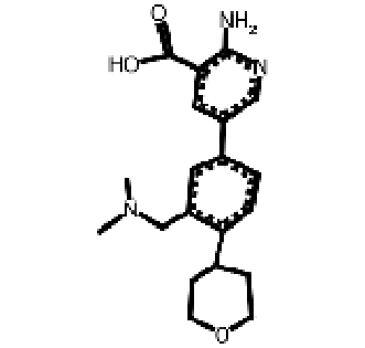 CN(C)Cc1cc(-c2cnc(N)c(C(=O)O)c2)ccc1C1CCOCC1